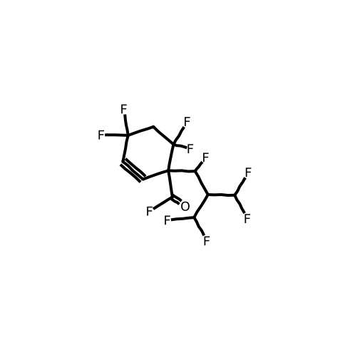 O=C(F)C1(C(F)C(C(F)F)C(F)F)C#CC(F)(F)CC1(F)F